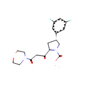 CC(C)(C)OC(=O)N1C[C@H](c2cc(F)cc(F)c2)CC1C(=O)CC(=O)N1CCOCC1